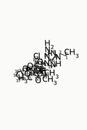 CCCNc1nc(N)nc2c1ncn2[C@@H]1O[C@]2(CCl)C(O[P@@](=O)(N[C@@H](C)C(=O)OC(C)C)Oc3ccccc3)[C@]2(O)[C@H]1F